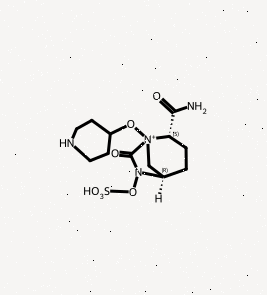 NC(=O)[C@@H]1CC[C@@H]2C[N+]1(OC1CCNCC1)C(=O)N2OS(=O)(=O)O